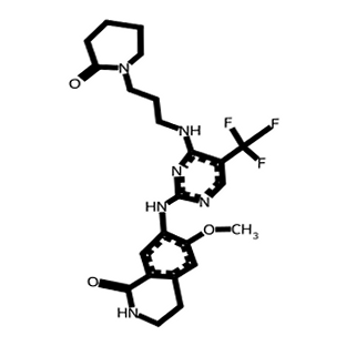 COc1cc2c(cc1Nc1ncc(C(F)(F)F)c(NCCCN3CCCCC3=O)n1)C(=O)NCC2